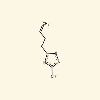 C=CCSc1nc(O)ns1